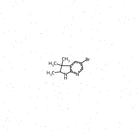 CC1Nc2ncc(Br)cc2C1(C)C